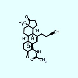 C#CCCC1=CC2=C(NC(C)=O)C(=O)CC[C@]2(C)[C@H]2CC[C@]3(C)C(=O)CC[C@H]3[C@H]12